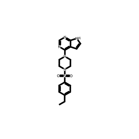 CCc1ccc(S(=O)(=O)N2CCN(c3ncnc4[nH]ccc34)CC2)cc1